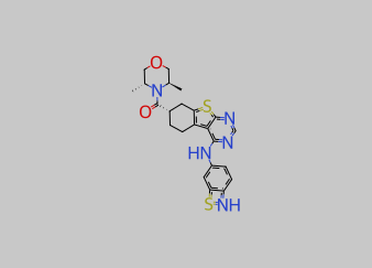 C[C@@H]1COC[C@@H](C)N1C(=O)[C@H]1CCc2c(sc3ncnc(Nc4ccc5[nH]sc5c4)c23)C1